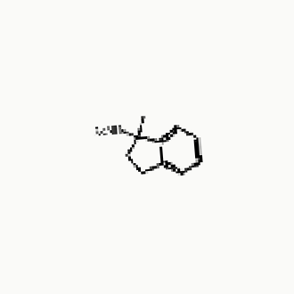 CC(=O)NC1(C)CCc2ccccc21